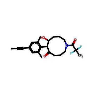 CC#Cc1cc(C)c(C2C(=O)CCCN(C(=O)C(F)(F)C(F)(F)F)CCCC2O)c(C)c1